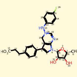 C[C@H]1O[C@@H](n2cc(-c3ccc(CCC(=O)O)cc3)c3c2N=CN(Nc2ccc(F)cc2)C3)[C@H](O)[C@@H]1O